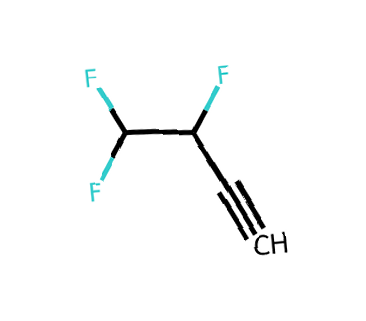 C#CC(F)C(F)F